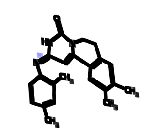 Cc1ccc(/N=c2\cc3n(c(=O)[nH]2)CCc2cc(C)c(C)cc2-3)c(C)c1